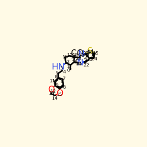 CC1C(NCCc2ccc3c(c2)OCCO3)CCC(C(=O)O)(c2ncc3ccsc3n2)C1C